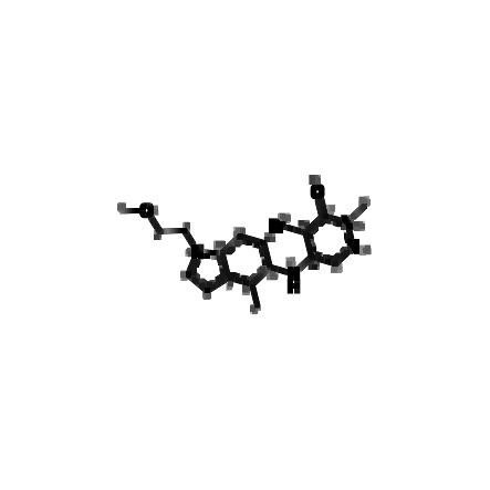 COCCn1ccc2c(C)c(Nc3cnn(C)c(=O)c3Br)ccc21